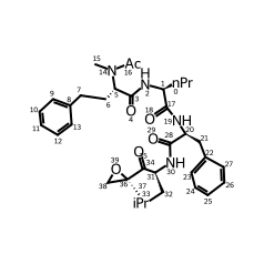 CCC[C@H](NC(=O)[C@H](CCc1ccccc1)N(C)C(C)=O)C(=O)N[C@@H](Cc1ccccc1)C(=O)N[C@@H](CC(C)C)C(=O)[C@@]1(C)CO1